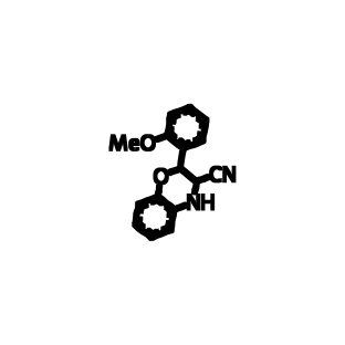 COc1ccccc1C1Oc2ccccc2NC1C#N